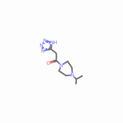 CC(C)N1CCN(C(=O)Cc2nnn[nH]2)CC1